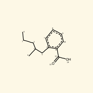 CCCC(C)Cc1ccccc1C(=O)O